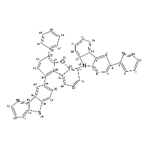 c1ccc(-c2ccc3c(c2)c2ccccc2n3-c2cccc3c2oc2c(-c4ccccc4)ccc(-c4ccc5sc6ccccc6c5c4)c23)cc1